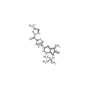 CN1CC(C(=O)N2CC3CCC2C=C3c2ccc3c(n2)n(C)c(=O)n3CC(C)(C)C)C=N1